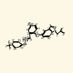 CC(C)Cn1ncc2cc(Oc3ccc(F)cc3CNSc3ccc(C(F)(F)F)cc3)ccc21